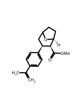 C=C(C)c1ccc([C@H]2CC3CC[C@H](O3)[C@H]2C(=O)OC)cc1